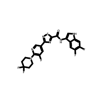 O=C(Nc1c[nH]c2cc(F)c(F)cc12)c1nc(-c2cnc(N3CCC(F)(F)CC3)c(F)c2)ns1